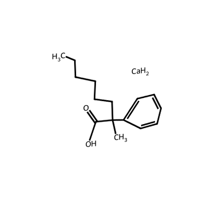 CCCCCCC(C)(C(=O)O)c1ccccc1.[CaH2]